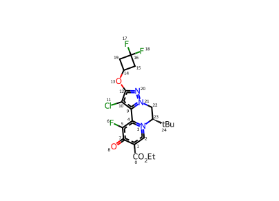 CCOC(=O)c1cn2c(c(F)c1=O)-c1c(Cl)c(OC3CC(F)(F)C3)nn1C[C@H]2C(C)(C)C